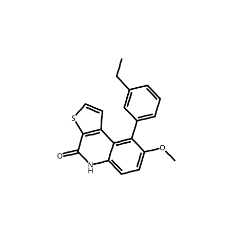 CCc1cccc(-c2c(OC)ccc3[nH]c(=O)c4sccc4c23)c1